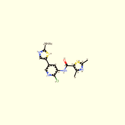 CC(=O)Nc1ncc(-c2cnc(Cl)c(NC(=O)c3sc(C)nc3C)c2)s1